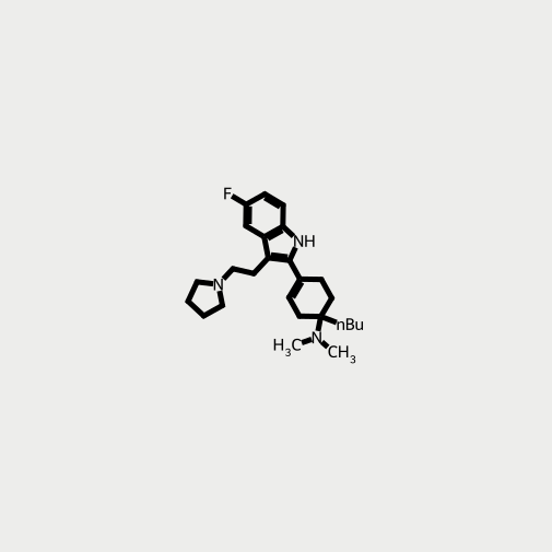 CCCCC1(N(C)C)CC=C(c2[nH]c3ccc(F)cc3c2CCN2CCCC2)CC1